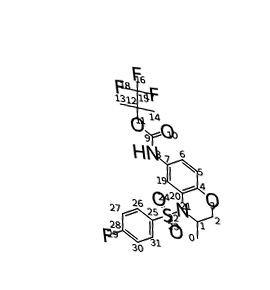 CC1COc2ccc(NC(=O)OC(C)(C)C(F)(F)F)cc2N1S(=O)(=O)c1ccc(F)cc1